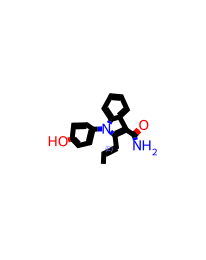 C/C=C/c1c(C(N)=O)c2ccccc2n1-c1ccc(O)cc1